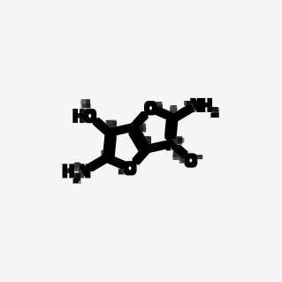 Nc1oc2c(oc(N)[n+]2[O-])c1O